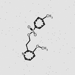 COc1cccnc1CCOS(=O)(=O)c1ccc(C)cc1